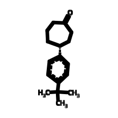 CC(C)(C)c1ccc([C@@H]2CCCC(=O)CC2)cc1